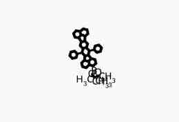 CC1(C)OB(c2ccc3c4c(-c5ccccc5)c5cc6c(cc5c(-c5ccccc5)c4c4cccc2c43)c2cccc3cccc6c32)OC1(C)C